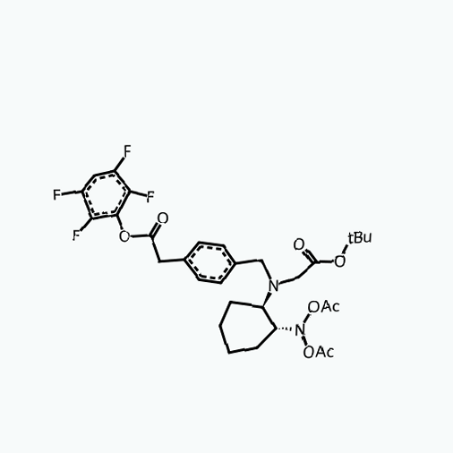 CC(=O)ON(OC(C)=O)[C@@H]1CCCC[C@H]1N(CC(=O)OC(C)(C)C)Cc1ccc(CC(=O)Oc2c(F)c(F)cc(F)c2F)cc1